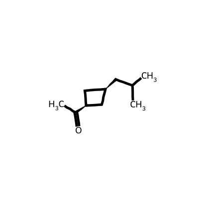 CC(=O)[C@H]1C[C@@H](CC(C)C)C1